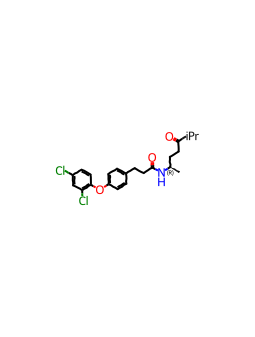 CC(C)C(=O)CC[C@@H](C)NC(=O)CCc1ccc(Oc2ccc(Cl)cc2Cl)cc1